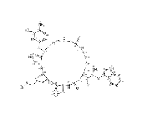 C[C@H](NC(=O)CN1CCCCCC(=O)NCCCCN(C(=O)[C@@H](N)Cc2c[nH]c3ccccc23)CC(=O)N[C@@H](CC(=O)O)C(=O)N[C@@H](CCCCN)C(=O)N[C@@H](CO)C1=O)C(N)=O